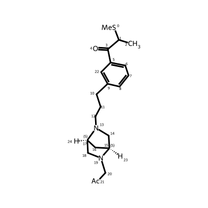 CSC(C)C(=O)c1cccc(CCCN2C[C@@H]3C[C@H]2CN3CC(C)=O)c1